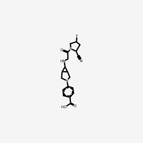 N#CC1CC(F)CN1C(=O)CNC1C2CN(c3ccc(C(=O)O)cc3)CC21